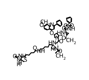 C=CC(=O)NC[C@H](NC(=O)CCCCCNC(=O)CCCCC1SC[C@@H]2NC(=O)NC12)C(=O)N1C[C@H](Oc2cc(-c3ccccc3)nc3cc(OC)ccc23)C[C@H]1C(=O)N[C@]1(C(=O)NS(=O)(=O)c2ccccc2)C[C@H]1C=C